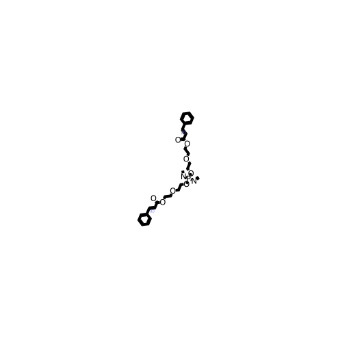 C=NP(=NC)(OCCOCCOC(=O)/C=C/c1ccccc1)OCCOCCOC(=O)/C=C/c1ccccc1